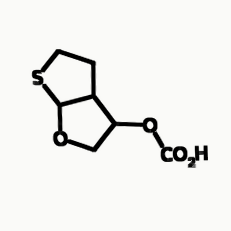 O=C(O)OC1COC2SCCC12